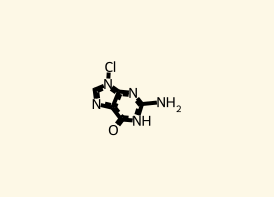 Nc1nc2c(ncn2Cl)c(=O)[nH]1